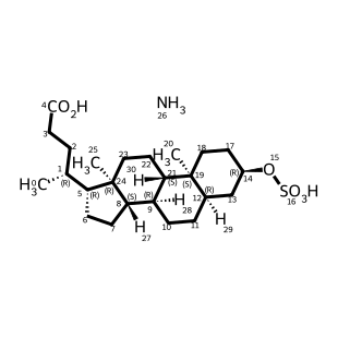 C[C@H](CCC(=O)O)[C@H]1CC[C@H]2[C@@H]3CC[C@@H]4C[C@H](OS(=O)(=O)O)CC[C@]4(C)[C@H]3CC[C@]12C.N